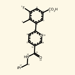 Cc1c(F)cc(C(=O)O)cc1-c1ccc(C(=O)NCC(C)C)cn1